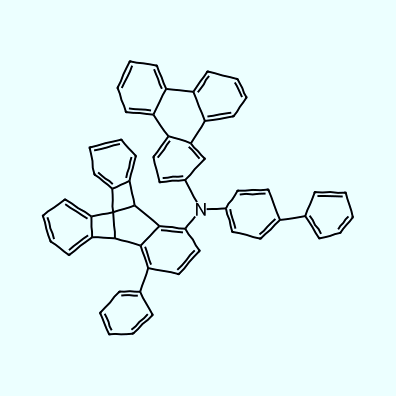 c1ccc(-c2ccc(N(c3ccc4c5ccccc5c5ccccc5c4c3)c3ccc(-c4ccccc4)c4c3C3c5ccccc5C35c3ccccc3C45)cc2)cc1